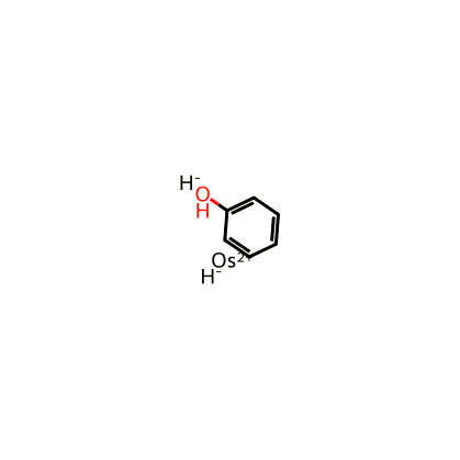 Oc1ccccc1.[H-].[H-].[Os+2]